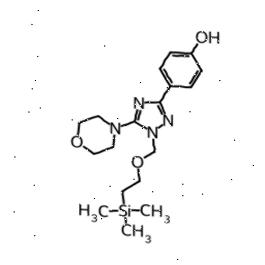 C[Si](C)(C)CCOCn1nc(-c2ccc(O)cc2)nc1N1CCOCC1